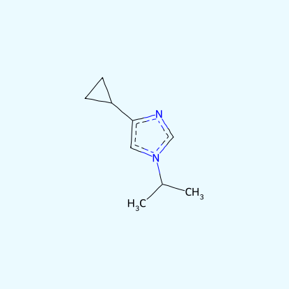 CC(C)n1cnc(C2CC2)c1